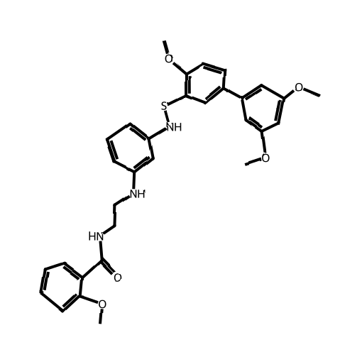 COc1cc(OC)cc(-c2ccc(OC)c(SNc3cccc(NCCNC(=O)c4ccccc4OC)c3)c2)c1